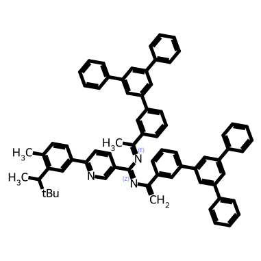 C=C(/N=C(\N=C(/C)c1cccc(-c2cc(-c3ccccc3)cc(-c3ccccc3)c2)c1)c1ccc(-c2ccc(C)c(C(C)C(C)(C)C)c2)nc1)c1cccc(-c2cc(-c3ccccc3)cc(-c3ccccc3)c2)c1